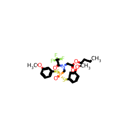 CCCCOC(=O)CN(CP(=O)(Sc1cccc(OC)c1)Sc1cccc(OC)c1)C(=O)C(F)(F)F